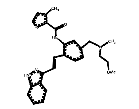 COCCN(C)Cc1ccc(C=Cc2n[nH]c3ccccc23)c(NC(=O)c2sccc2C)c1